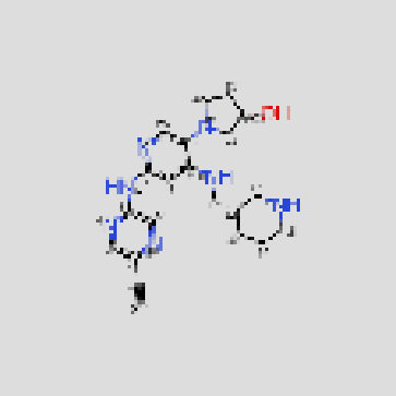 C#Cc1cnc(Nc2cc(NC[C@H]3CCCNC3)c(N3CCC(O)C3)cn2)cn1